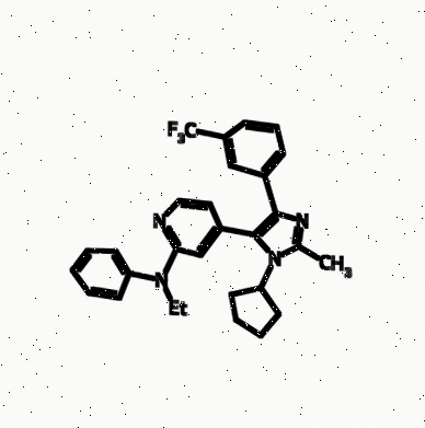 CCN(c1ccccc1)c1cc(-c2c(-c3cccc(C(F)(F)F)c3)nc(C)n2C2CCCC2)ccn1